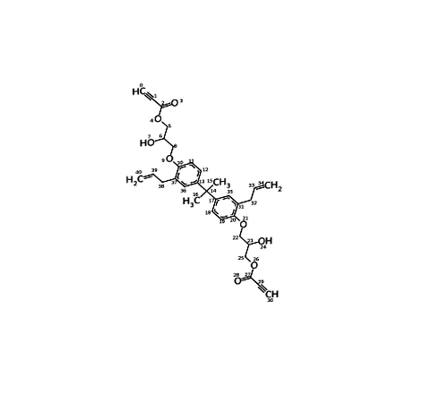 C#CC(=O)OCC(O)COc1ccc(C(C)(C)c2ccc(OCC(O)COC(=O)C#C)c(CC=C)c2)cc1CC=C